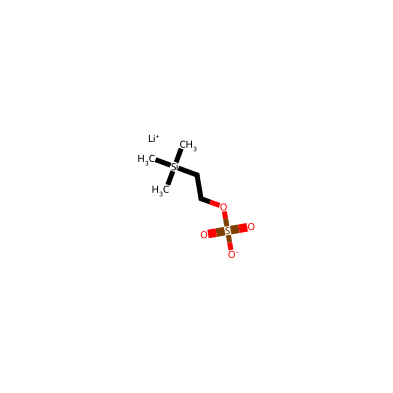 C[Si](C)(C)CCOS(=O)(=O)[O-].[Li+]